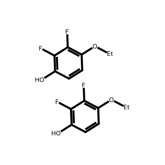 CCOc1ccc(O)c(F)c1F.CCOc1ccc(O)c(F)c1F